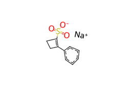 O=S(=O)([O-])C1=C(c2ccccc2)CC1.[Na+]